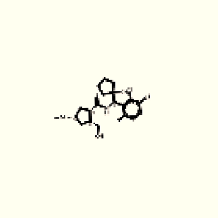 CC(=O)N[C@@H]1C[C@H](CO)[C@H](C(=O)N[C@H](c2c(F)ccc(Cl)c2Cl)C2(C)CCCC2)C1